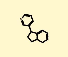 C1=CCC2CC[C](c3cccnc3)C2=C1